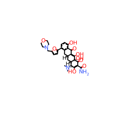 CN(C)[C@@H]1C(O)=C(C(N)=O)C(=O)[C@]2(O)C(O)=C3C(=O)c4c(O)ccc(-c5ccc(CN6CCOCC6)o5)c4C[C@H]3C[C@@H]12